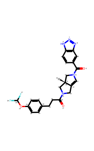 O=C(c1ccc2[nH]nnc2c1)N1C=C2CN(C(=O)CCc3ccc(OC(F)F)cc3)C[C@@H]2C1